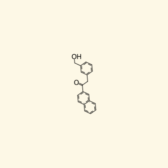 O=C(Cc1cccc(CO)c1)c1ccc2ccccc2c1